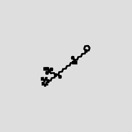 CN(C)CCCN(CCS(=O)(=O)O)C(=O)CCCCCCCNC(=O)CCCCCN1CCCCC1